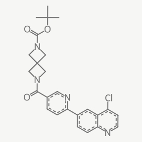 CC(C)(C)OC(=O)N1CC2(C1)CN(C(=O)c1ccc(-c3ccc4nccc(Cl)c4c3)nc1)C2